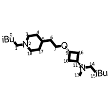 CCC(C)CN1CCC(CCO[C@H]2C[C@H](N(C)CC(C)CC)C2)CC1